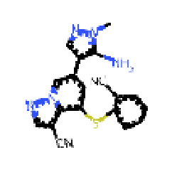 Cn1ncc(-c2cc(Sc3ccccc3C#N)c3c(C#N)cnn3c2)c1N